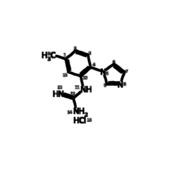 Cc1ccc(-n2ccnc2)c(NC(=N)N)c1.Cl